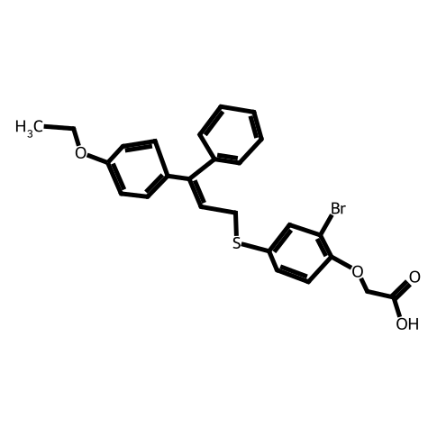 CCOc1ccc(C(=CCSc2ccc(OCC(=O)O)c(Br)c2)c2ccccc2)cc1